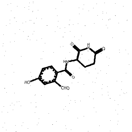 O=Cc1cc(O)ccc1C(=O)NC1CCC(=O)NC1=O